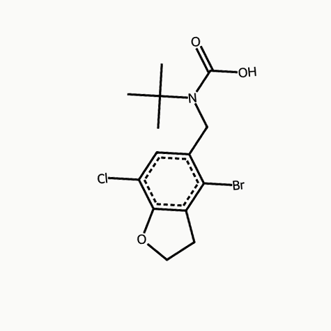 CC(C)(C)N(Cc1cc(Cl)c2c(c1Br)CCO2)C(=O)O